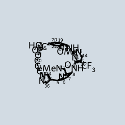 CNC(=O)c1nc2ccc1Nc1nc(ncc1C(F)(F)F)Nc1ccc(cc1OC)CP(=O)(O)OCCCn1cc-2cn1